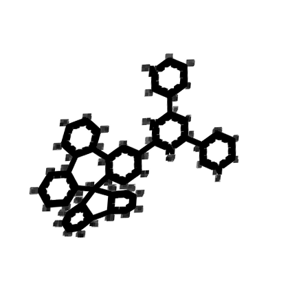 c1cncc(-c2cc(-c3cccnc3)nc(-c3ccc4c(c3)-c3ccccc3-c3ccccc3C43c4ccccc4-c4ccccc43)n2)c1